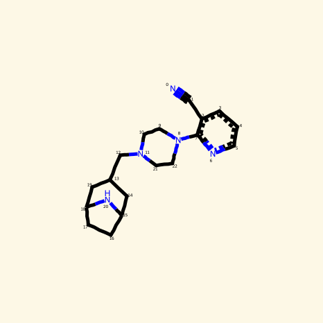 N#Cc1cccnc1N1CCN(CC2CC3CCC(C2)N3)CC1